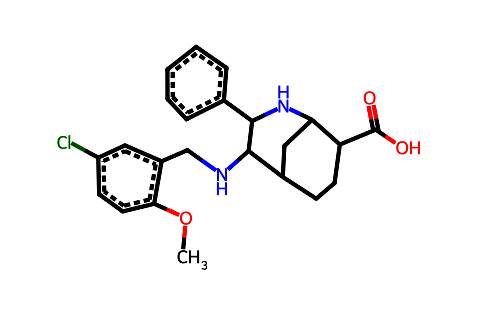 COc1ccc(Cl)cc1CNC1C2CCC(C(=O)O)C(C2)NC1c1ccccc1